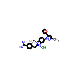 Cc1cc(-c2ccco2)n(-c2ccc3c(c2)nc(Cc2ccc(C(=N)N)cc2)n3C)n1.Cl